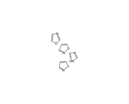 c1c[nH]cn1.c1cnoc1.c1cnsc1.c1cocn1